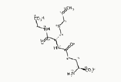 C=CCSC[C@H](NC(=O)CC[C@H](N)C(=O)O)C(=O)NCC(=O)O